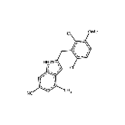 COc1ccc(Cl)c(Cc2cc3c(C)cc(C#N)cc3[nH]2)c1Cl